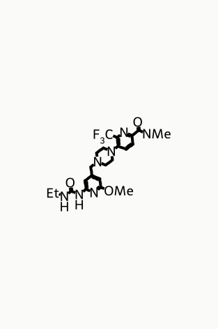 CCNC(=O)Nc1cc(CN2CCN(c3ccc(C(=O)NC)nc3C(F)(F)F)CC2)cc(OC)n1